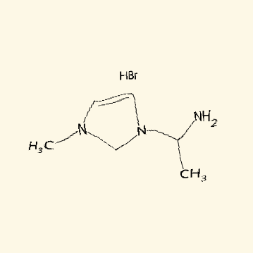 Br.CC(N)N1C=CN(C)C1